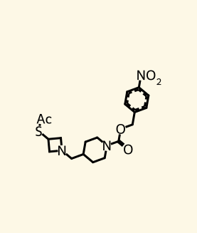 CC(=O)SC1CN(CC2CCN(C(=O)OCc3ccc([N+](=O)[O-])cc3)CC2)C1